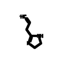 [CH]=CCC1=NCCN1